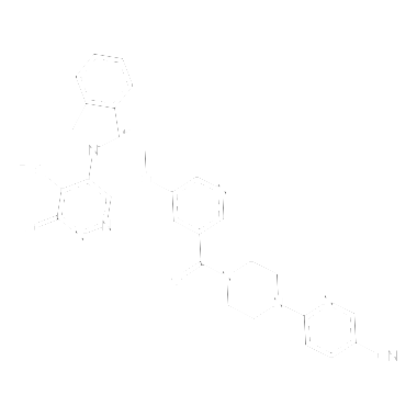 N#Cc1ccc(N2CCN(C(=O)c3cncc(OC[C@H]4c5ccccc5CN4c4cn[nH]c(=O)c4C(F)(F)F)c3)CC2)nc1